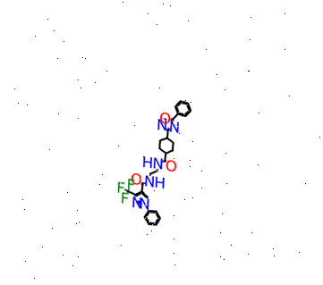 O=C(NCCNC(=O)C1CCC(c2noc(-c3ccccc3)n2)CC1)c1cn(-c2ccccc2)nc1C(F)(F)F